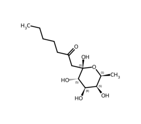 CCCCCC(=O)C[C@]1(O)O[C@@H](C)[C@@H](O)[C@@H](O)[C@@H]1O